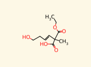 CCOC(=O)C(C)(C=CCCO)C(=O)O